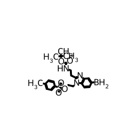 Bc1ccc2c(c1)nc(CCNC(=O)OC(C)(C)C)n2CCOS(=O)(=O)c1ccc(C)cc1